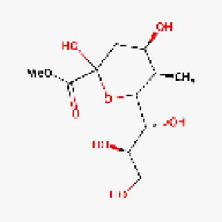 COC(=O)C1(O)C[C@@H](O)[C@@H](C)C([C@H](O)[C@H](O)CO)O1